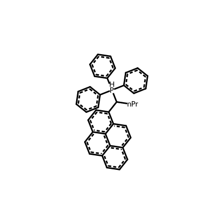 CCCC(c1ccc2ccc3cccc4ccc1c2c34)[PH](c1ccccc1)(c1ccccc1)c1ccccc1